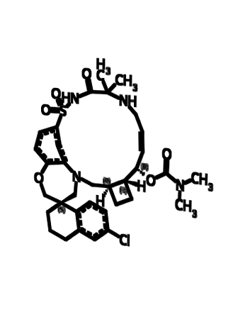 CN(C)C(=O)O[C@H]1C=CCNC(C)(C)C(=O)NS(=O)(=O)c2ccc3c(c2)N(C[C@@H]2CC[C@H]21)C[C@@]1(CCCc2cc(Cl)ccc21)CO3